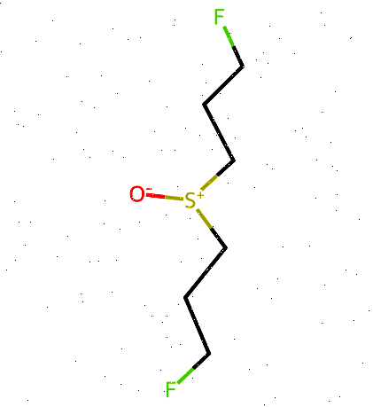 [O-][S+](CCCF)CCCF